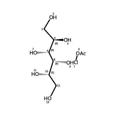 CC(=O)OCl.OC[C@@H](O)[C@@H](O)[C@H](O)[C@@H](O)CO